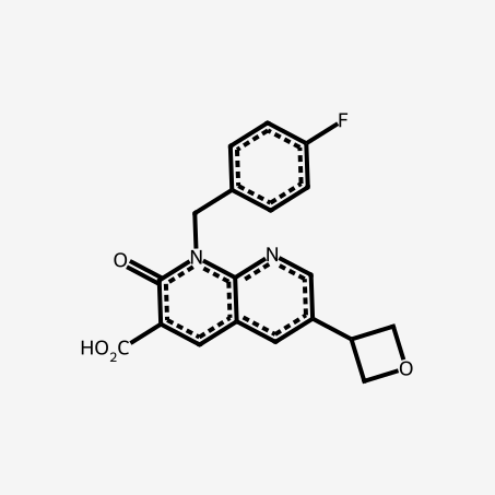 O=C(O)c1cc2cc(C3COC3)cnc2n(Cc2ccc(F)cc2)c1=O